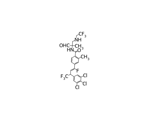 Cc1cc(/C(F)=C/C(c2cc(Cl)c(Cl)c(Cl)c2)C(F)(F)F)ccc1C(=O)NC(C)(C=O)CNCC(F)(F)F